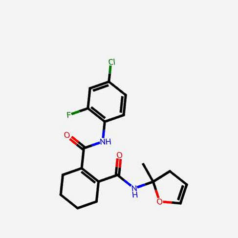 CC1(NC(=O)C2=C(C(=O)Nc3ccc(Cl)cc3F)CCCC2)CC=CO1